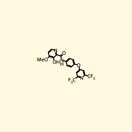 COc1ccnc(C(=O)Nc2ccc(Oc3cc(C(F)(F)F)nc(C(F)(F)F)c3)cc2)c1O